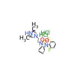 C[C@@H]1CN(CCN2c3ccccc3N(c3c(F)cccc3F)S2(=O)=O)C[C@H](C)N1.Cl.Cl